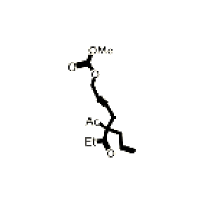 C=CCC(CC#CCOC(=O)OC)(C(C)=O)C(=O)CC